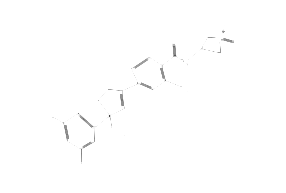 O=C(NC1CS(=O)(=O)C1)c1ccc(C2=CC(c3cc(Cl)cc(Cl)c3)(C(F)(F)F)CC2)cc1Cl